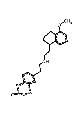 COc1cccc2c1CCCC2CCNCCc1ccc2sc(=O)cnc2c1